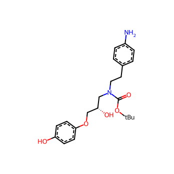 CC(C)(C)OC(=O)N(CCc1ccc(N)cc1)C[C@H](O)COc1ccc(O)cc1